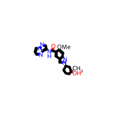 COc1cc2nn([C@H]3CCC[C@](C)(O)C3)cc2cc1C(=O)Nc1cnn2cccnc12